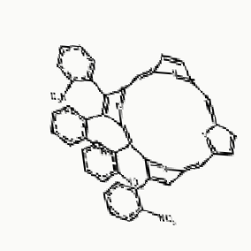 O=[N+]([O-])c1ccccc1C1=CC2=CC3=NC(=CC4=NC(=CC5=NC(=C(c6ccccc6[N+](=O)[O-])C1=N2)C(c1ccccc1[N+](=O)[O-])=C5c1ccccc1[N+](=O)[O-])C=C4)C=C3